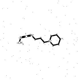 CN=C=NCCCN1CCCCC1